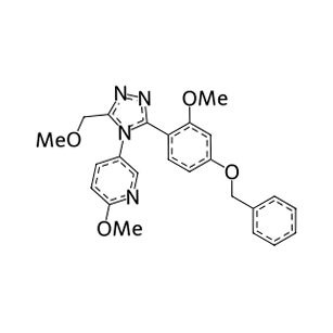 COCc1nnc(-c2ccc(OCc3ccccc3)cc2OC)n1-c1ccc(OC)nc1